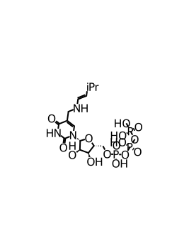 CC(C)C=CNCc1cn([C@@H]2O[C@H](COP(=O)(O)OP(=O)(O)OP(=O)(O)O)[C@@H](O)[C@H]2O)c(=O)[nH]c1=O